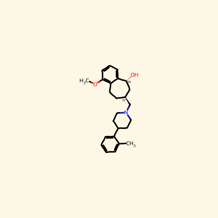 COc1cccc2c1CC[C@H](CN1CCC(c3ccccc3C)CC1)C[C@H]2O